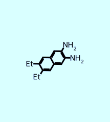 CCc1cc2cc(N)c(N)cc2cc1CC